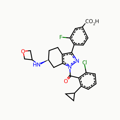 O=C(O)c1ccc(-c2nn(C(=O)c3c(Cl)cccc3C3CC3)c3c2CC[C@H](NC2COC2)C3)c(F)c1